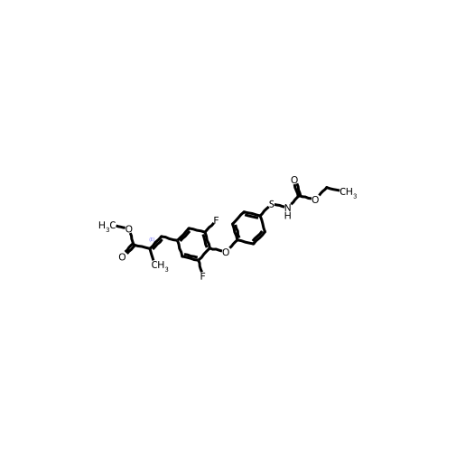 CCOC(=O)NSc1ccc(Oc2c(F)cc(/C=C(\C)C(=O)OC)cc2F)cc1